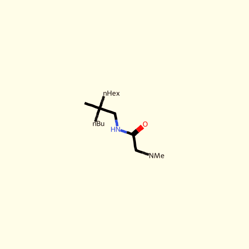 CCCCCCC(C)(CCCC)CNC(=O)CNC